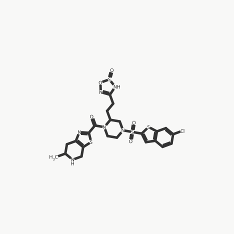 CC1Cc2nc(C(=O)N3CCN(S(=O)(=O)c4cc5ccc(Cl)cc5s4)CC3CCC3=NOS(=O)N3)sc2CN1